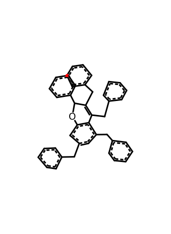 c1ccc(CC2=C(Cc3ccccc3)C(c3ccccc3)Oc3cc(Cc4ccccc4)cc(Cc4ccccc4)c32)cc1